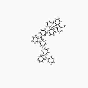 Fc1ccc2c(c1)C1(c3ccccc3-c3ccccc31)c1cc(-c3cccc(-n4c5ccccc5c5cc(-c6ccc7c(c6)c6ccccc6n7-c6ccccc6)ccc54)n3)ccc1-2